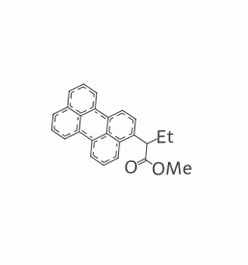 CCC(C(=O)OC)c1ccc2c3cccc4cccc(c5cccc1c52)c43